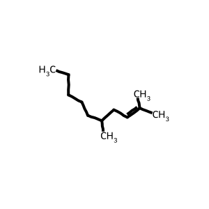 CCCCCC(C)CC=C(C)C